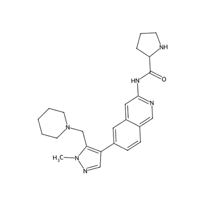 Cn1ncc(-c2ccc3cnc(NC(=O)C4CCCN4)cc3c2)c1CN1CCCCC1